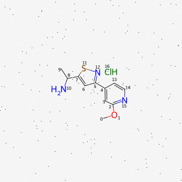 COc1cc(-c2cc(C(C)N)sn2)ccn1.Cl